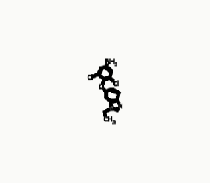 CCn1cnc2ccc(Oc3c(Cl)cc(N)cc3Cl)cc21